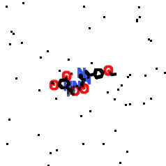 CCOc1ccc(-c2cncc(C(=O)NO[C@H](C)c3cc(OC)cc(OC)c3)n2)cc1